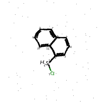 Cl[SiH2]c1cccc2ccccc12